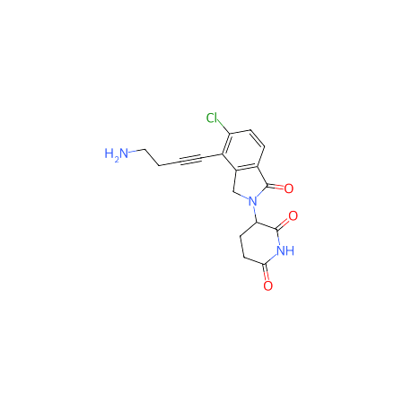 NCCC#Cc1c(Cl)ccc2c1CN(C1CCC(=O)NC1=O)C2=O